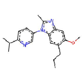 CCCc1cc2c(cc1OC)nc(C)n2-c1ccc(C(C)C)nc1